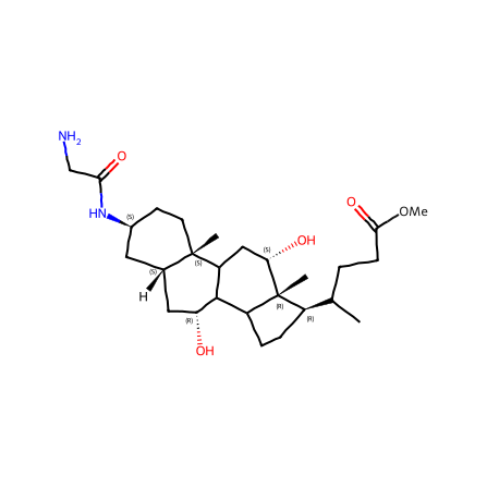 COC(=O)CCC(C)[C@H]1CCC2C3C(C[C@H](O)[C@@]21C)[C@@]1(C)CC[C@H](NC(=O)CN)C[C@H]1C[C@H]3O